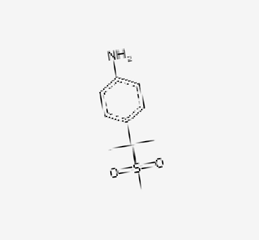 CC(C)(c1ccc(N)cc1)S(C)(=O)=O